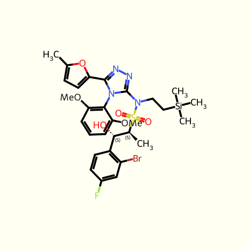 COc1cccc(OC)c1-n1c(-c2ccc(C)o2)nnc1N(CC[Si](C)(C)C)S(=O)(=O)[C@@H](C)[C@@H](O)c1ccc(F)cc1Br